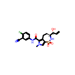 C=C[C@@H](O)[C@@H]1CCc2c(cn(C)c2C(=O)Nc2ccc(F)c(C#N)c2)S(=O)(=O)N1